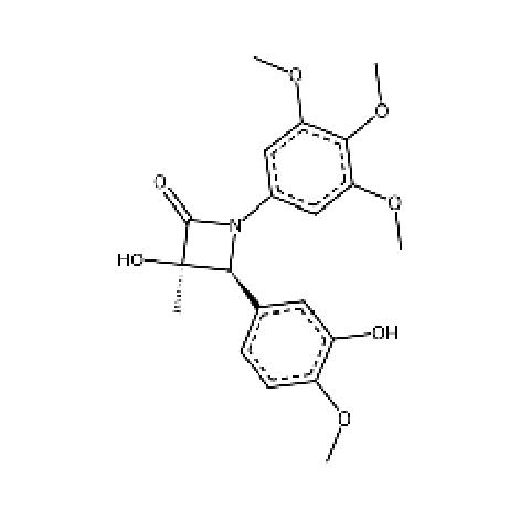 COc1ccc([C@@H]2N(c3cc(OC)c(OC)c(OC)c3)C(=O)[C@]2(C)O)cc1O